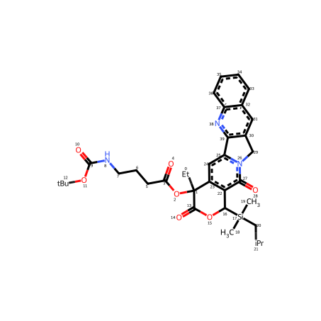 CCC1(OC(=O)CCCNC(=O)OC(C)(C)C)C(=O)OC([Si](C)(C)CC(C)C)c2c1cc1n(c2=O)Cc2cc3ccccc3nc2-1